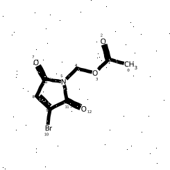 CC(=O)OCN1C(=O)C=C(Br)C1=O